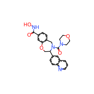 O=C(NO)c1ccc2c(c1)OCC(c1ccc3ncccc3c1)N(C(=O)N1CCOCC1)C2